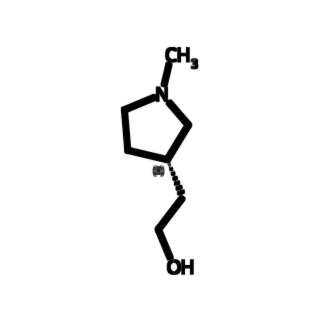 CN1CC[C@@H](CCO)C1